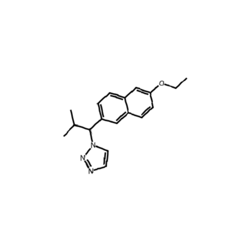 CCOc1ccc2cc(C(C(C)C)n3ccnn3)ccc2c1